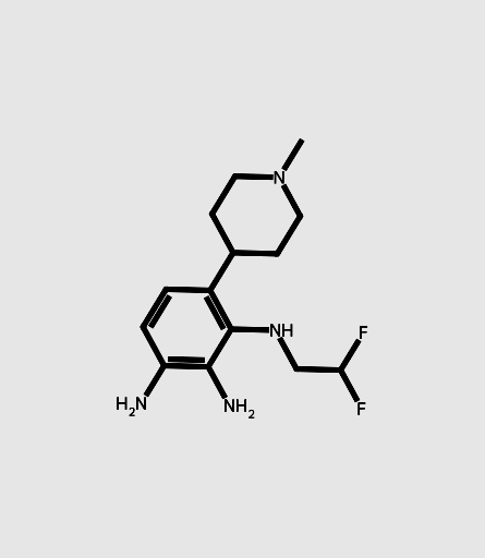 CN1CCC(c2ccc(N)c(N)c2NCC(F)F)CC1